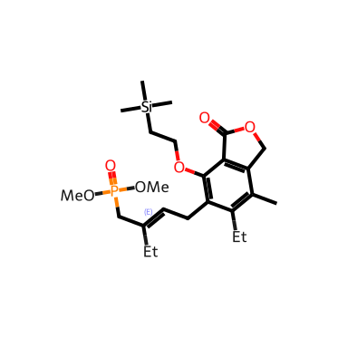 CC/C(=C\Cc1c(CC)c(C)c2c(c1OCC[Si](C)(C)C)C(=O)OC2)CP(=O)(OC)OC